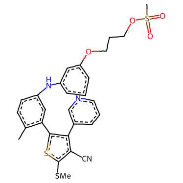 CSc1sc(-c2cc(Nc3cccc(OCCCOS(C)(=O)=O)c3)ccc2C)c(-c2cccnc2)c1C#N